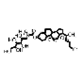 CC(C)CCC[C@@H](C)C1CCC2C3CC=C4C[C@@H](OC(=O)N(C)CC(O)C(O)C(O)C(O)CO)CC[C@]4(C)C3CC[C@@]21C